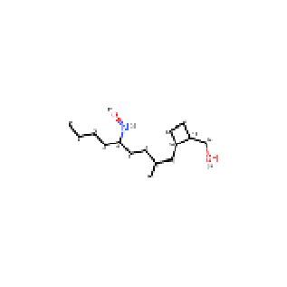 CCCCC(CCC(C)CC1CCC1CO)N=O